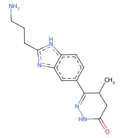 CC1CC(=O)NN=C1c1ccc2[nH]c(CCCN)nc2c1